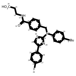 CCC(C)c1ccc(N(Cc2ccc(C(=O)NCCC(=O)O)cc2)c2nc(-c3ccc(F)cc3)cs2)cc1